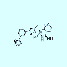 Cc1ncc2c(n1)C[C@](c1sc(-c3cccc(-c4ncno4)c3)cc1C)(C(C)C)NC2=N